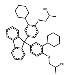 CC(O)COc1ccc(C2(c3ccc(OCC(C)O)c(C4CCCCC4)c3)c3ccccc3-c3ccccc32)cc1C1CCCCC1